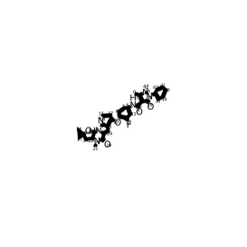 Cc1c(C(=O)Nc2ccc(Oc3ccnc4[nH]c(C(=O)N(C)C5COC6(CC6)C5)cc34)c(F)c2)c(=O)n(-c2ccccc2)n1C